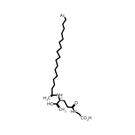 C=C(CCCCCCCCCCCCCCCCC(C)=O)N[C@@H](CCC(=O)NCC(=O)O)C(=C)O